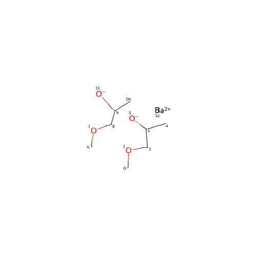 COCC(C)[O-].COCC(C)[O-].[Ba+2]